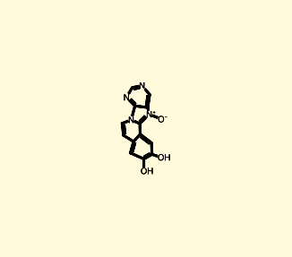 [O-][n+]1c2cncnc2n2ccc3cc(O)c(O)cc3c21